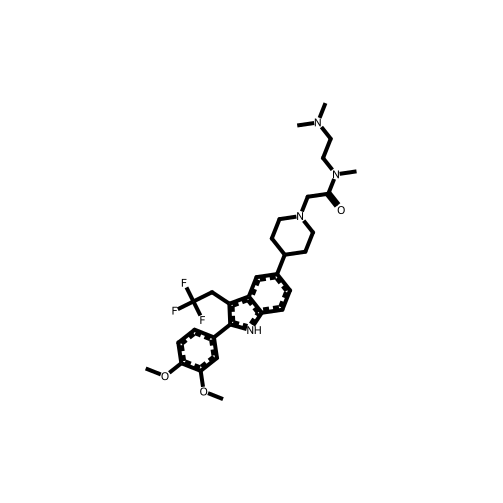 COc1ccc(-c2[nH]c3ccc(C4CCN(CC(=O)N(C)CCN(C)C)CC4)cc3c2CC(F)(F)F)cc1OC